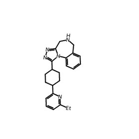 CCc1cccc(C2CCC(c3nnc4n3-c3ccccc3CNC4)CC2)n1